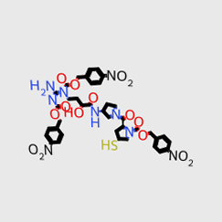 NC(=NC(=O)OCc1ccc([N+](=O)[O-])cc1)N(CCC(O)C(=O)N[C@H]1CCN(C(=O)[C@@H]2C[C@H](S)CN2C(=O)OCc2ccc([N+](=O)[O-])cc2)C1)C(=O)OCc1ccc([N+](=O)[O-])cc1